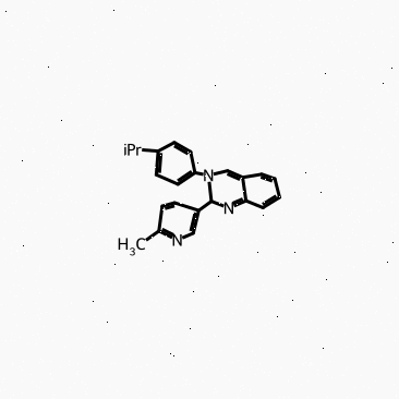 Cc1ccc(C2N=c3ccccc3=CN2c2ccc(C(C)C)cc2)cn1